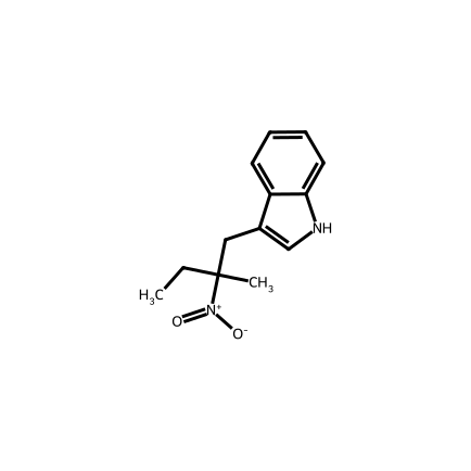 CCC(C)(Cc1c[nH]c2ccccc12)[N+](=O)[O-]